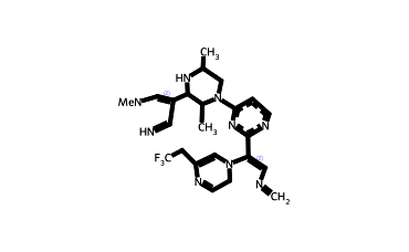 C=N/C=C(/c1nccc(N2CC(C)NC(/C(C=N)=C/NC)C2C)n1)N1C=C(CC(F)(F)F)N=CC1